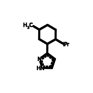 CC1CCC(C(C)C)C(c2cc[nH]n2)C1